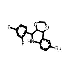 CCC(C)c1ccc2c(c1)C1OCCOC1C(c1ccc(F)cc1F)N2